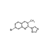 Cc1cc2ccc(Br)cc2nc1-n1cncn1